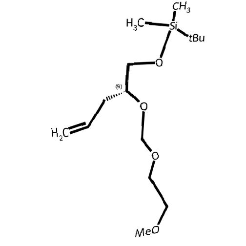 C=CC[C@H](CO[Si](C)(C)C(C)(C)C)OCOCCOC